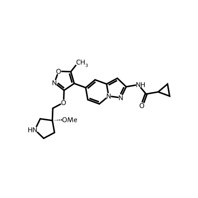 CO[C@]1(COc2noc(C)c2-c2ccn3nc(NC(=O)C4CC4)cc3c2)CCNC1